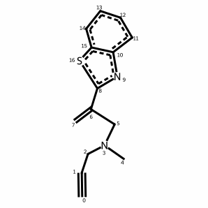 C#CCN(C)CC(=C)c1nc2ccccc2s1